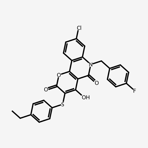 CCc1ccc(Sc2c(O)c3c(=O)n(Cc4ccc(F)cc4)c4cc(Cl)ccc4c3oc2=O)cc1